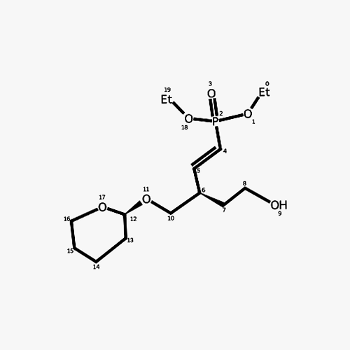 CCOP(=O)(C=C[C@@H](CCO)CO[C@H]1CCCCO1)OCC